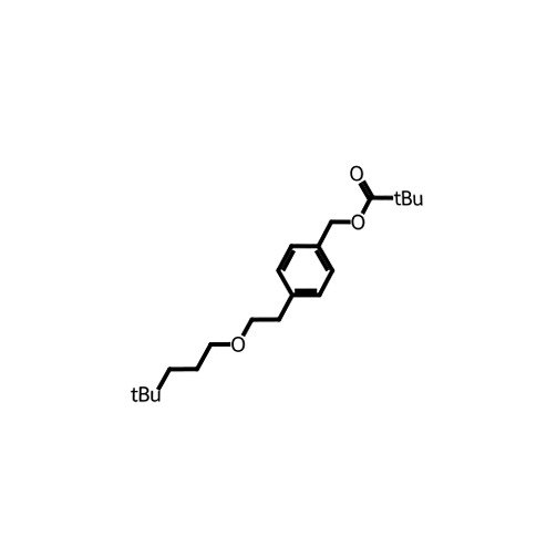 CC(C)(C)CCCOCCc1ccc(COC(=O)C(C)(C)C)cc1